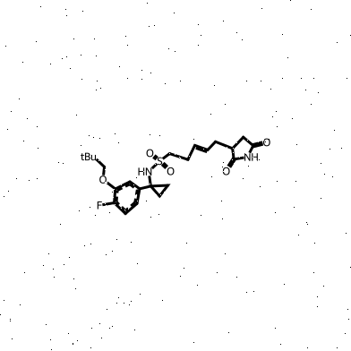 CC(C)(C)COc1cc(C2(NS(=O)(=O)CC/C=C/CC3CC(=O)NC3=O)CC2)ccc1F